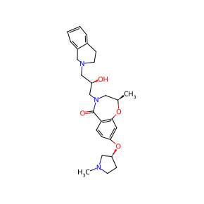 C[C@@H]1CN(C[C@H](O)CN2CCc3ccccc3C2)C(=O)c2ccc(O[C@H]3CCN(C)C3)cc2O1